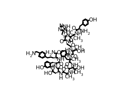 C[C@H](NC(=O)[C@@H](NC(=O)C(C)(Cc1ccccc1F)NC(=O)[C@@H](NC(=O)CNC(=O)[C@H](Cc1nn[nH]n1)NC(=O)C(C)(C)NC(=O)[C@@H](N)Cc1ccc(O)cc1)[C@@H](C)O)[C@@H](C)O)C(=O)N[C@@H](CC(=O)O)C(=O)N[C@@H](Cc1ccc(O)cc1)C(=O)N[C@@H](CCCc1ccc(CN)cc1)C(N)=O